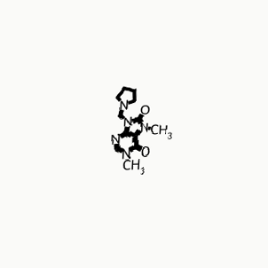 Cn1cnc2c(c1=O)n(C)c(=O)n2CN1CCCC1